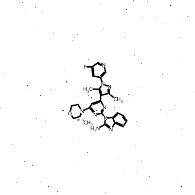 Cc1nn(-c2cncc(F)c2)c(C)c1-c1cc(N2CCOC[C@H]2C)nc(-n2c(N)nc3ccccc32)n1